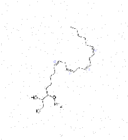 CCCCC/C=C\C/C=C\C/C=C\C/C=C\CCCCC(OP)C(O)CO